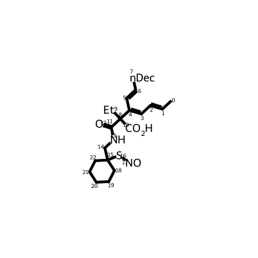 CC=CC=C(C=CCCCCCCCCCC)C(CC)(C(=O)O)C(=O)NCC1(SN=O)CCCCC1